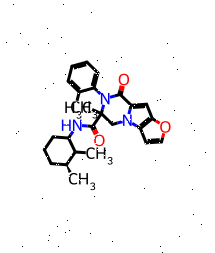 Cc1ccccc1N1C(=O)c2cc3occc3n2CC1(C)C(=O)NC1CCC[C@H](C)C1C